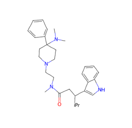 CC(C)C(CC(=O)N(C)CCN1CCC(c2ccccc2)(N(C)C)CC1)c1c[nH]c2ccccc12